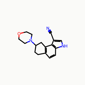 N#Cc1c[nH]c2ccc3c(c12)CC(N1CCOCC1)CC3